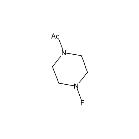 CC(=O)N1CCN(F)CC1